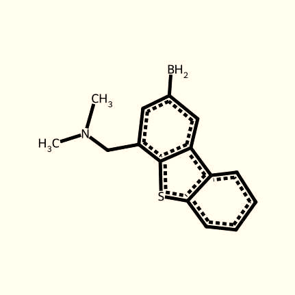 Bc1cc(CN(C)C)c2sc3ccccc3c2c1